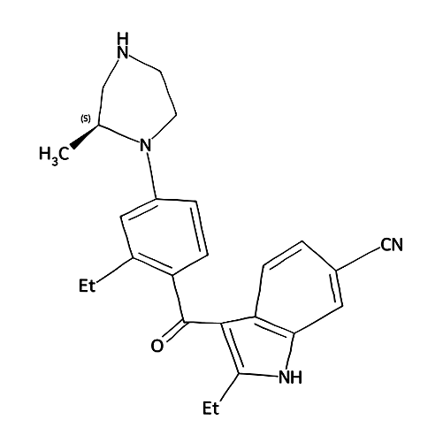 CCc1cc(N2CCNC[C@@H]2C)ccc1C(=O)c1c(CC)[nH]c2cc(C#N)ccc12